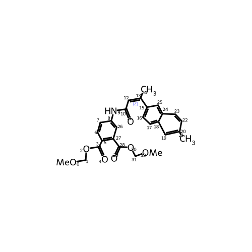 COCOC(=O)c1ccc(NC(=O)/C=C(/C)c2ccc3cc(C)ccc3c2)cc1C(=O)OCOC